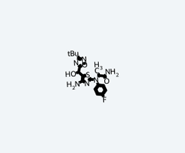 CC(C(N)=O)N(c1ccc(F)cc1)c1nc(N)c(C(O)c2nc(C(C)(C)C)no2)s1